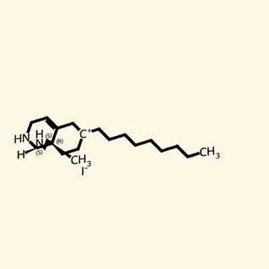 CCCCCCCCC[C+]1CC[C@@]23C(=CCN[C@@H]2NC[C@H]3C)C1.[I-]